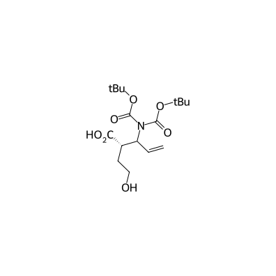 C=CC([C@H](CCO)C(=O)O)N(C(=O)OC(C)(C)C)C(=O)OC(C)(C)C